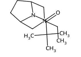 CCN1CC2CCC(C1)N2C(=O)C(C)(C)C